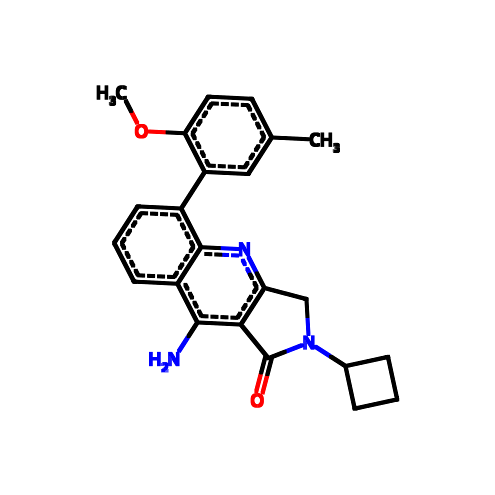 COc1ccc(C)cc1-c1cccc2c(N)c3c(nc12)CN(C1CCC1)C3=O